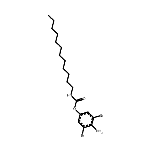 CCCCCCCCCCCCNC(=O)Oc1cc(Br)c(N)c(Br)c1